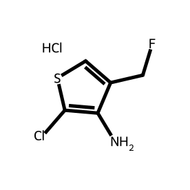 Cl.Nc1c(CF)csc1Cl